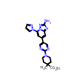 CCOC(=O)C1(C)CCN(c2ncc(-c3cc(-n4cccn4)n4nc(N)nc4c3)cn2)CC1